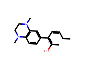 CC/C=C\C(=C(/C)O)c1ccc2c(c1)N(C)CCN2C